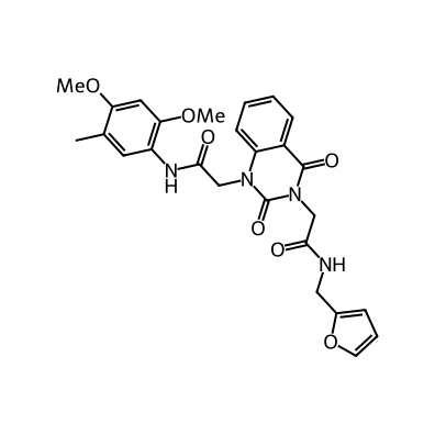 COc1cc(OC)c(NC(=O)Cn2c(=O)n(CC(=O)NCc3ccco3)c(=O)c3ccccc32)cc1C